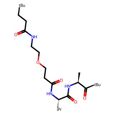 CC(C)[C@H](NC(=O)CCOCCNC(=O)CCC(C)(C)C)C(=O)N[C@@H](C)C(=O)C(C)(C)C